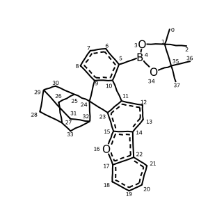 CC1(C)OB(c2cccc3c2-c2ccc4c(oc5ccccc54)c2C32C3CC4CC(C3)CC2C4)OC1(C)C